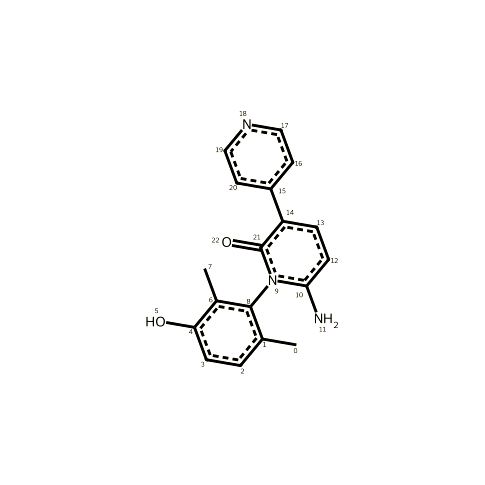 Cc1ccc(O)c(C)c1-n1c(N)ccc(-c2ccncc2)c1=O